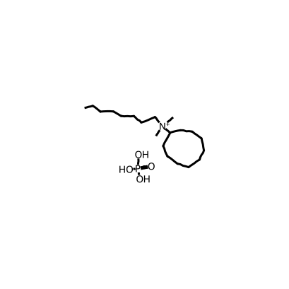 CCCCCCCC[N+](C)(C)C1CCCCCCCCC1.O=P(O)(O)O